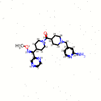 CON=C(c1cnccn1)C1CCN(C(=O)C2CCN(Cc3ccnc(N)c3)CC2)CC1